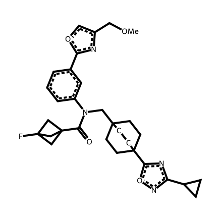 COCc1coc(-c2cccc(N(CC34CCC(c5nc(C6CC6)no5)(CC3)CC4)C(=O)C34CC(F)(C3)C4)c2)n1